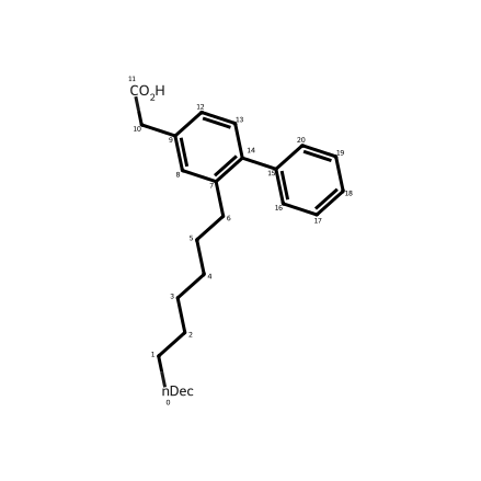 CCCCCCCCCCCCCCCCc1cc(CC(=O)O)ccc1-c1ccccc1